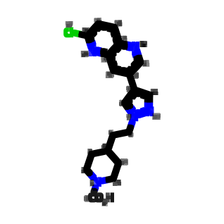 O=C(O)N1CCC(CCn2cc(-c3cnc4ccc(Cl)nc4c3)cn2)CC1